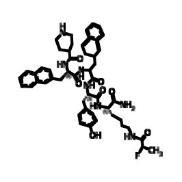 CC(F)C(=O)NCCCC[C@H](NC(=O)[C@H](Cc1ccc(O)cc1)NC(=O)C(CC1C=c2ccccc2=CC1)NC(=O)[C@@H](Cc1ccc2ccccc2c1)NC(=O)C1CCNCC1)C(N)=O